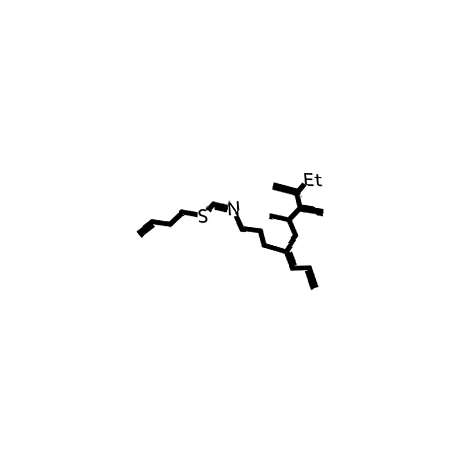 C=C/C=C(/CCC/N=C\SCCC=C)CC(C)C(=C)C(=C)CC